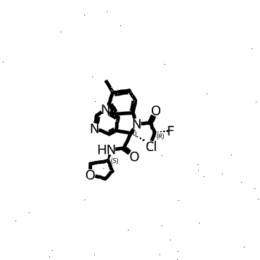 Cc1ccc(N(C(=O)[C@H](F)Cl)[C@@](C)(C(=O)N[C@H]2CCOC2)c2cncnc2)cc1